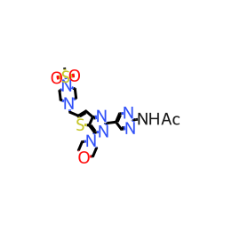 CC(=O)Nc1ncc(-c2nc(N3CCOCC3)c3sc(CN4CCN(S(C)(=O)=O)CC4)cc3n2)cn1